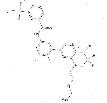 CSCOCCN1CC(F)(F)[C@@H](O)c2ncc(-c3cc(NC(=O)c4ccnc(C(C)(F)F)c4)ccc3C)cc21